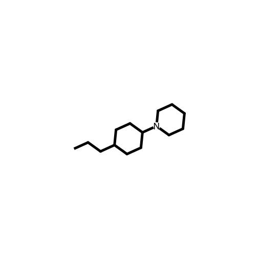 CCCC1CCC(N2CCCCC2)CC1